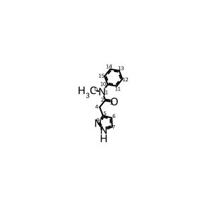 CN(C(=O)Cc1cc[nH]n1)c1ccccc1